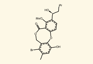 COc1c([C@@H](O)CC(C)C)ccc2c1C(=O)OCc1c(Br)c(C)cc(O)c1O2